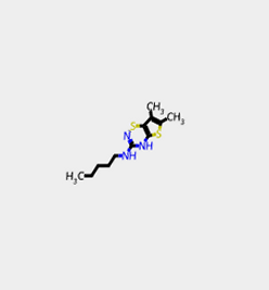 CCCCCNC1=NSc2c(sc(C)c2C)N1